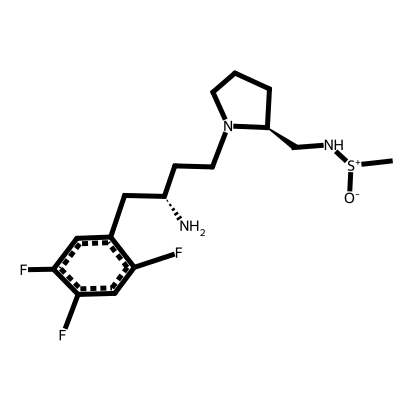 C[S+]([O-])NC[C@@H]1CCCN1CC[C@H](N)Cc1cc(F)c(F)cc1F